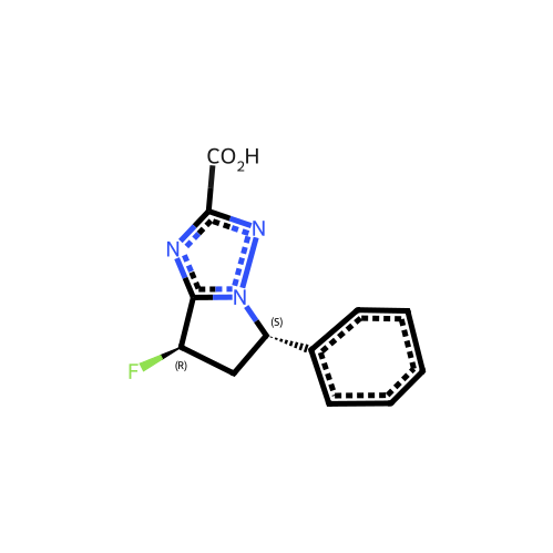 O=C(O)c1nc2n(n1)[C@H](c1ccccc1)C[C@H]2F